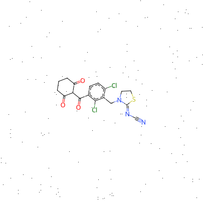 N#CN=C1SCCN1Cc1c(Cl)ccc(C(=O)C2C(=O)CCCC2=O)c1Cl